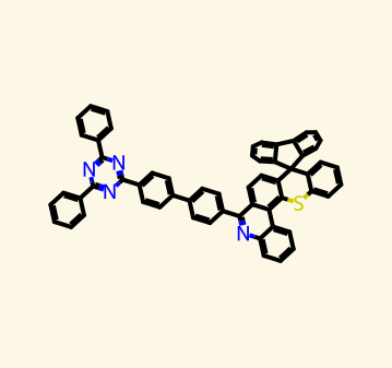 c1ccc(-c2nc(-c3ccccc3)nc(-c3ccc(-c4ccc(-c5nc6ccccc6c6c7c(ccc56)C5(c6ccccc6S7)c6ccccc6-c6ccccc65)cc4)cc3)n2)cc1